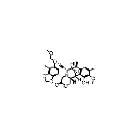 C=C1c2cc(C)c(OC)c(O)c2[C@H]2N[C@@H]1[C@@H](C#N)N1[C@@H](c3cc(OCOC)c(C)c4c3OCO4)C(=O)OC[C@@H]21